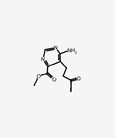 COC(=O)c1ncnc(N)c1CCC(C)=O